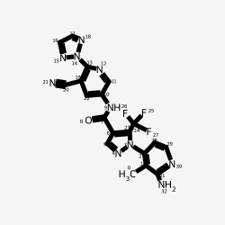 Cc1c(-n2ncc(C(=O)Nc3cnc(-n4nccn4)c(C#N)c3)c2C(F)(F)F)ccnc1N